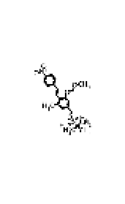 COCOc1cc(CO[Si](C)(C)C(C)(C)C)cc(C)c1/C=C/c1ccc([N+](=O)[O-])cc1